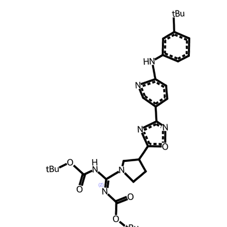 CC(C)(C)OC(=O)/N=C(/NC(=O)OC(C)(C)C)N1CCC(c2nc(-c3ccc(Nc4cccc(C(C)(C)C)c4)nc3)no2)C1